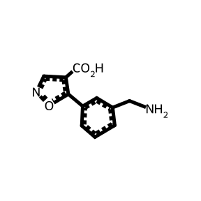 NCc1cccc(-c2oncc2C(=O)O)c1